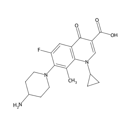 Cc1c(N2CCC(N)CC2)c(F)cc2c(=O)c(C(=O)O)cn(C3CC3)c12